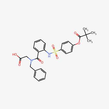 CC(C)(C)C(=O)Oc1ccc(S(=O)(=O)Nc2ccccc2C(=O)N(CC(=O)O)Cc2ccccc2)cc1